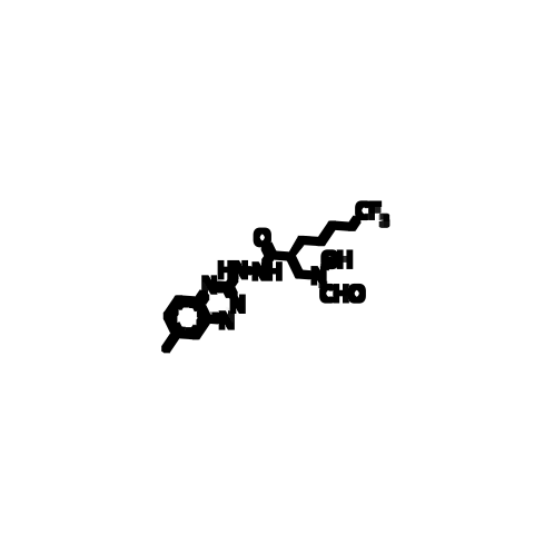 Cc1ccc2nc(NNC(=O)[C@@H](CCCCC(F)(F)F)CN(O)C=O)nnc2c1